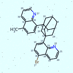 Cc1ccc(C23CC4CC(C2)CC(c2ccc(Br)c5cccnc25)(C4)C3)c2ncccc12